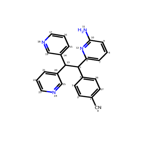 N#Cc1ccc(C(c2cccc(N)n2)C(c2cccnc2)c2cccnc2)cc1